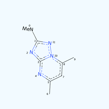 CNc1nc2nc(C)cc(C)n2n1